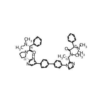 C[C@@H](c1nccn1-c1ccc(-c2ccc(-c3cnc([C@@H]4CCCN4C(=O)[C@@H](c4ccccc4)N(C)C)[nH]3)cc2)cc1)N(C)C(=O)[C@@H](c1ccccc1)N(C)C